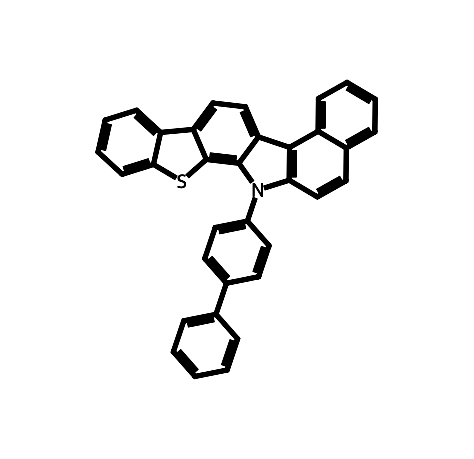 c1ccc(-c2ccc(-n3c4ccc5ccccc5c4c4ccc5c6ccccc6sc5c43)cc2)cc1